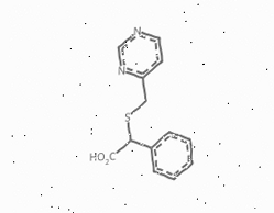 O=C(O)C(SCc1ccncn1)c1ccccc1